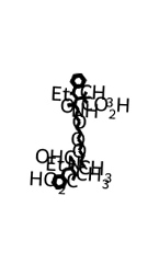 CCC(c1ccccc1)C(C(=O)NCOCCOCOCC(C)N(C=O)C(C(C)C(=O)O)C(CC)c1ccccc1)C(C)C(=O)O